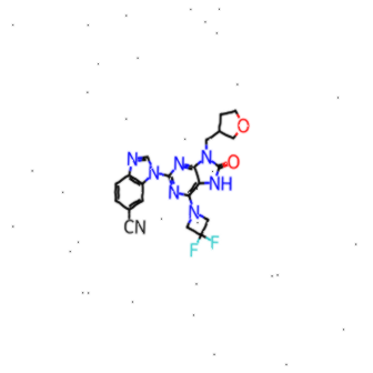 N#Cc1ccc2ncn(-c3nc(N4CC(F)(F)C4)c4[nH]c(=O)n(CC5CCOC5)c4n3)c2c1